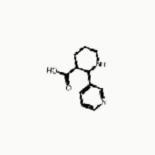 O=C(O)C1CCCNC1c1cccnc1